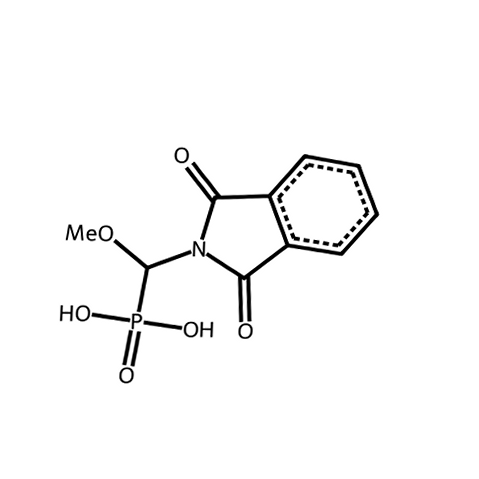 COC(N1C(=O)c2ccccc2C1=O)P(=O)(O)O